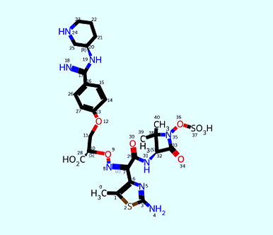 Cc1sc(N)nc1/C(=N/O[C@@H](COc1ccc(C(=N)N[C@@H]2CCCNC2)cc1)C(=O)O)C(=O)N[C@@H]1C(=O)N(OS(=O)(=O)O)C1(C)C